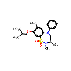 CCCC[C@@H]1CN(c2ccccc2)c2cc(SC)c(OCC(OC)C(=O)O)cc2S(=O)(=O)N1C